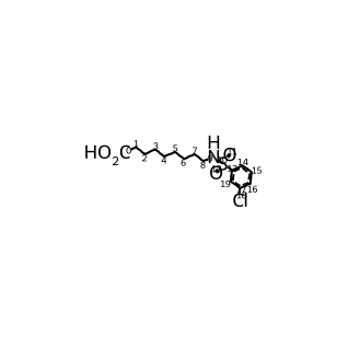 O=C(O)CCCCCCCCNS(=O)(=O)c1cccc(Cl)c1